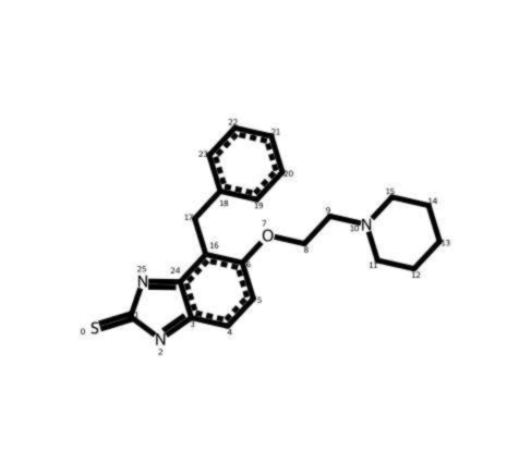 S=C1N=c2ccc(OCCN3CCCCC3)c(Cc3ccccc3)c2=N1